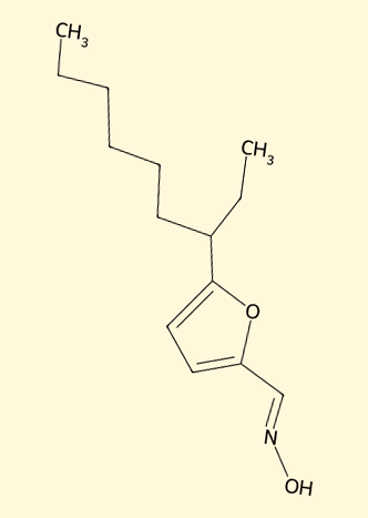 CCCCCCC(CC)c1ccc(/C=N/O)o1